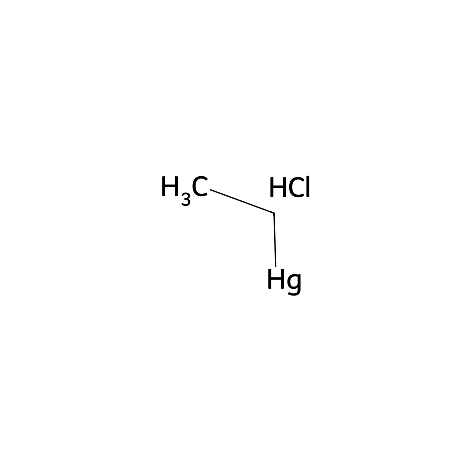 C[CH2][Hg].Cl